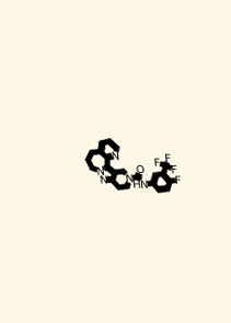 O=C(Nc1ccc(F)c(C(F)(F)F)c1)N1CCc2nn3c(c2C1)-c1ncccc1CCC3